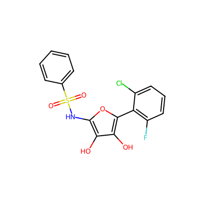 O=S(=O)(Nc1oc(-c2c(F)cccc2Cl)c(O)c1O)c1ccccc1